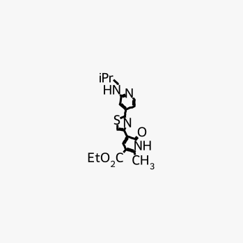 CCOC(=O)c1cc(-c2csc(-c3ccnc(NCC(C)C)c3)n2)c(=O)[nH]c1C